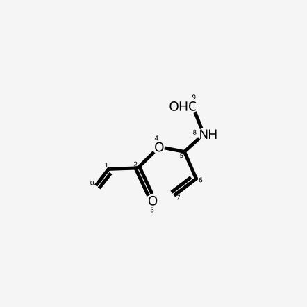 C=CC(=O)OC(C=C)NC=O